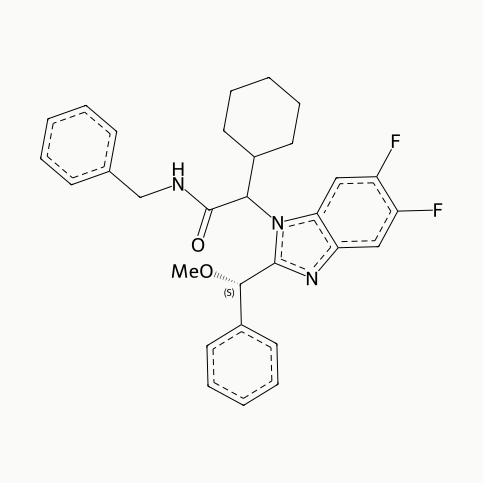 CO[C@@H](c1ccccc1)c1nc2cc(F)c(F)cc2n1C(C(=O)NCc1ccccc1)C1CCCCC1